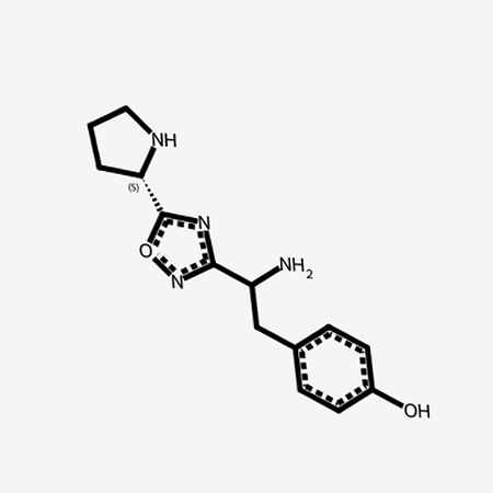 NC(Cc1ccc(O)cc1)c1noc([C@@H]2CCCN2)n1